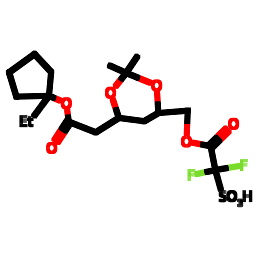 CCC1(OC(=O)CC2CC(COC(=O)C(F)(F)S(=O)(=O)O)OC(C)(C)O2)CCCC1